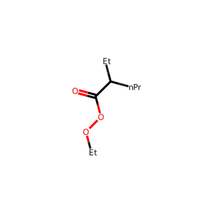 CCCC(CC)C(=O)OOCC